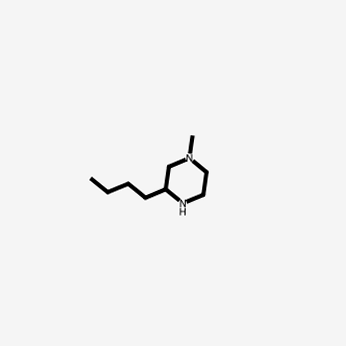 CCCCC1CN(C)CCN1